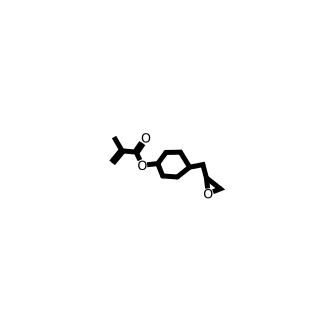 C=C(C)C(=O)OC1CCC(CC2CO2)CC1